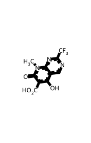 Cn1c(=O)c(C(=O)O)c(O)c2cnc(C(F)(F)F)nc21